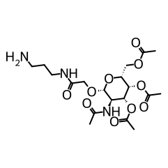 CC(=O)N[C@H]1[C@H](OCC(=O)NCCCN)O[C@H](COC(C)=O)[C@H](OC(C)=O)[C@@H]1OC(C)=O